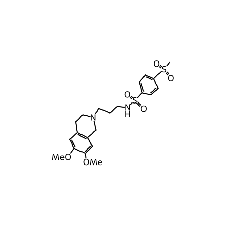 COc1cc2c(cc1OC)CN(CCCNS(=O)(=O)c1ccc(S(C)(=O)=O)cc1)CC2